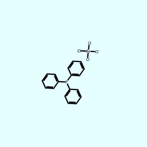 [Cl][Re]([Cl])([Cl])[Cl].c1ccc(P(c2ccccc2)c2ccccc2)cc1